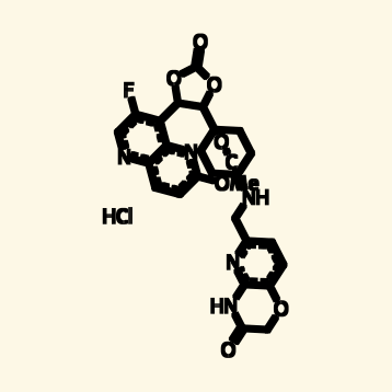 COc1ccc2ncc(F)c(C3OC(=O)OC3C34CCC(NCc5ccc6c(n5)NC(=O)CO6)(CC3)CO4)c2n1.Cl